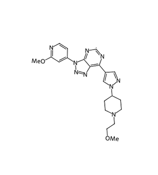 COCCN1CCC(n2cc(-c3n[c]nc4c3nnn4-c3ccnc(OC)c3)cn2)CC1